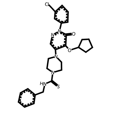 O=c1c(OC2CCCC2)c(N2CCN(C(=S)NCc3ccccc3)CC2)cnn1-c1cccc(Cl)c1